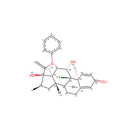 C=C(Oc1ccccc1)[C@@]1(O)[C@H](C)C[C@H]2[C@@H]3CCC4=CC(=O)C=C[C@]4(C)[C@@]3(F)[C@@H](O)C[C@@]21C